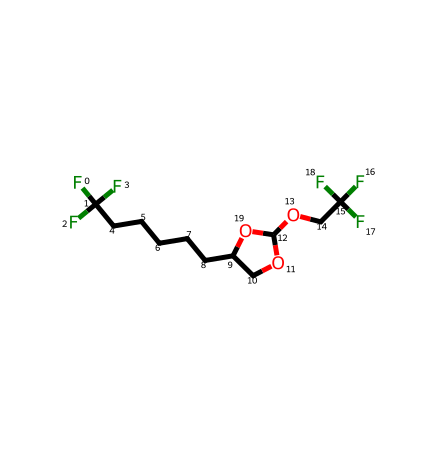 FC(F)(F)CCCCCC1COC(OCC(F)(F)F)O1